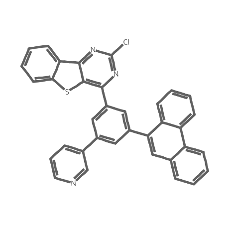 Clc1nc(-c2cc(-c3cccnc3)cc(-c3cc4ccccc4c4ccccc34)c2)c2sc3ccccc3c2n1